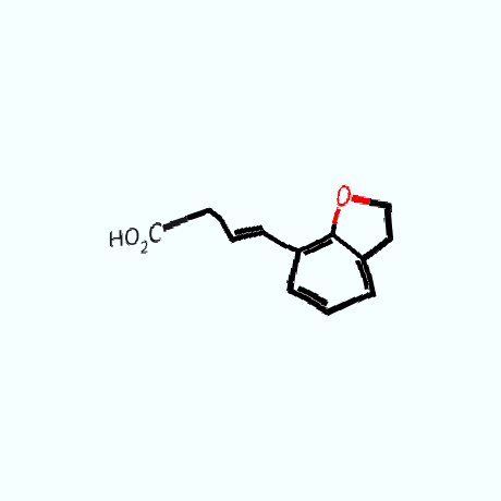 O=C(O)CC=Cc1cccc2c1OCC2